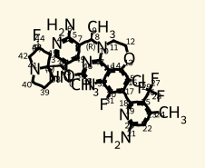 CNc1cnc(N)c([C@@H](C)N2CCOc3c(Cl)c(-c4nc(N)cc(C)c4C(F)(F)F)c(F)c4nc(OC[C@@]56CCCN5C[C@H](F)C6)nc2c34)c1